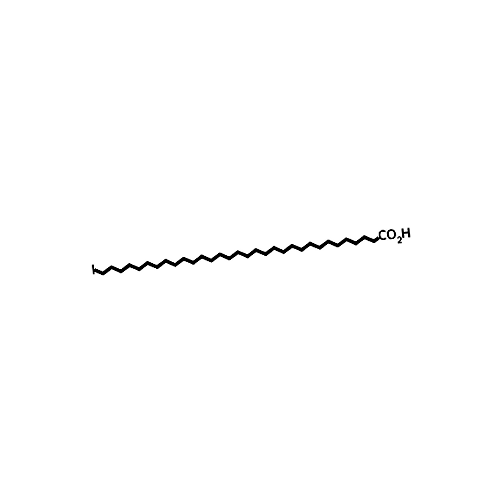 O=C(O)CCCCCCCCCCCCCCCCCCCCCCCCCCCCCCCI